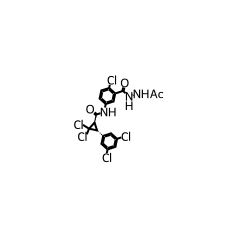 CC(=O)NNC(=O)c1cc(NC(=O)[C@H]2[C@H](c3cc(Cl)cc(Cl)c3)C2(Cl)Cl)ccc1Cl